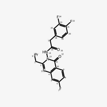 CC(C)Cc1nc2cc(F)ccc2c(=O)n1NC(=O)Cc1ccc(F)c(F)c1